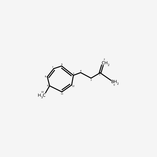 BC(=C)CCC1=CC=CC(C)C=C1